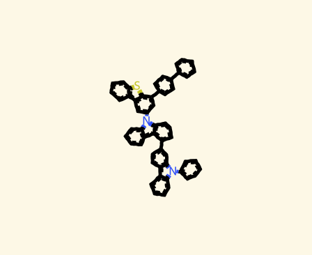 c1ccc(-c2ccc(-c3cc(-n4c5ccccc5c5c(-c6ccc7c8ccccc8n(-c8ccccc8)c7c6)cccc54)cc4c3sc3ccccc34)cc2)cc1